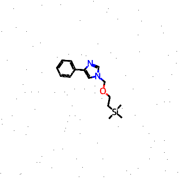 C[Si](C)(C)CCOCn1cnc(-c2ccccc2)c1